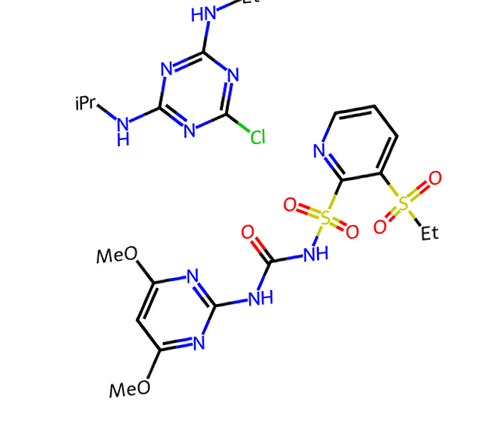 CCNc1nc(Cl)nc(NC(C)C)n1.CCS(=O)(=O)c1cccnc1S(=O)(=O)NC(=O)Nc1nc(OC)cc(OC)n1